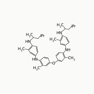 Cc1cc(Oc2ccc(Nc3ccc(NC(C)CC(C)C)c(C)c3)c(C)c2)ccc1Nc1ccc(NC(C)CC(C)C)c(C)c1